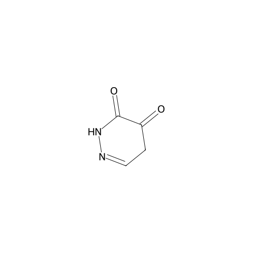 O=C1CC=NNC1=O